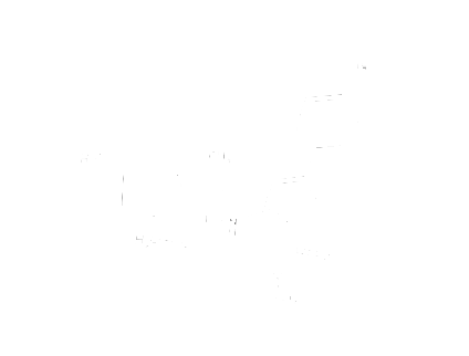 COC(=O)c1sc(-c2ccc(Br)cc2)cc1NP(=O)(OC)c1ccc(C)cc1C